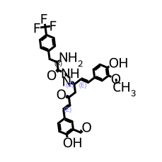 COc1cc(/C=C/C(CC(=O)/C=C/c2ccc(O)c(C=O)c2)=N\NC(=O)[C@H](N)Cc2ccc(C(F)(F)F)cc2)ccc1O